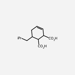 CC(C)CC1CC=CC(C(=O)O)C1C(=O)O